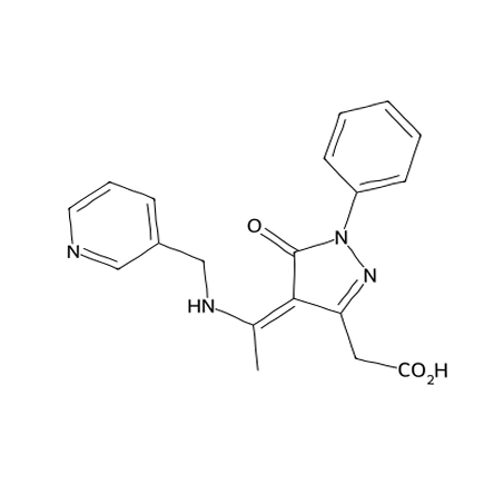 CC(NCc1cccnc1)=C1C(=O)N(c2ccccc2)N=C1CC(=O)O